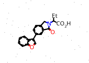 CCC(C(=O)O)N1Cc2ccc(-c3coc4ccccc34)cc2C1=O